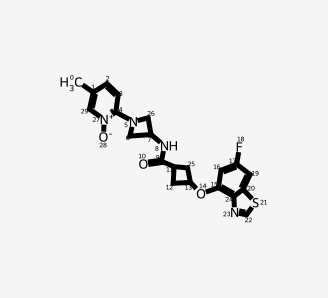 Cc1ccc(N2CC(NC(=O)C3CC(Oc4cc(F)cc5scnc45)C3)C2)[n+]([O-])c1